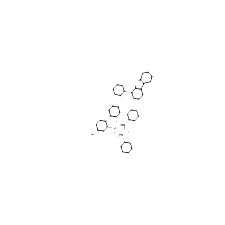 C=Cc1ccc(-c2ccc3c(c2)Oc2cccc(-c4cccc5c4sc4ccccc45)c2S3)c(-c2nc(-c3ccccc3)nc(-c3ccccc3)n2)c1